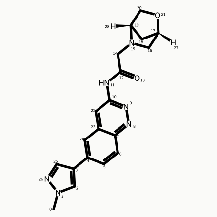 Cn1cc(-c2ccc3nnc(NC(=O)CN4C[C@@H]5C[C@H]4CO5)cc3c2)cn1